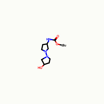 CC(C)(C)OC(=O)NC1CCN(N2CCC(O)C2)C1